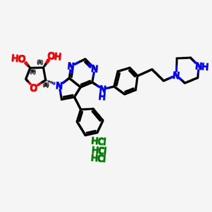 Cl.Cl.Cl.O[C@@H]1[C@H](O)CO[C@H]1n1cc(-c2ccccc2)c2c(Nc3ccc(CCN4CCNCC4)cc3)ncnc21